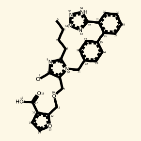 CCCCc1nc(Cl)c(COCc2occc2C(=O)O)n1Cc1ccc(-c2ccccc2-c2nnn[nH]2)cc1